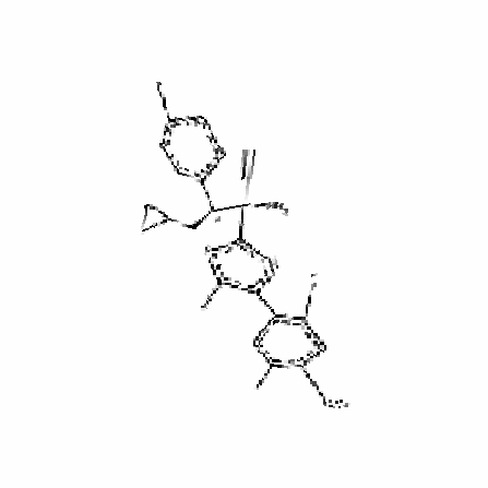 C#CC(N)(c1nc(-c2cc(C)c(OC)cc2Cl)c(C)s1)[C@@H](CC1CC1)c1ccc(F)cc1